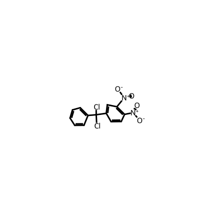 O=[N+]([O-])c1ccc(C(Cl)(Cl)c2ccccc2)cc1[N+](=O)[O-]